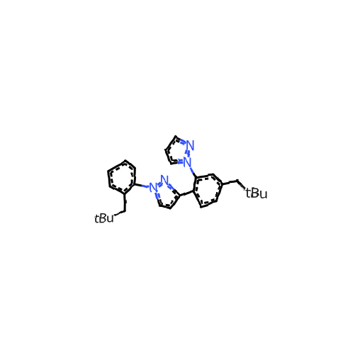 CC(C)(C)Cc1ccc(-c2ccn(-c3ccccc3CC(C)(C)C)n2)c(-n2cccn2)c1